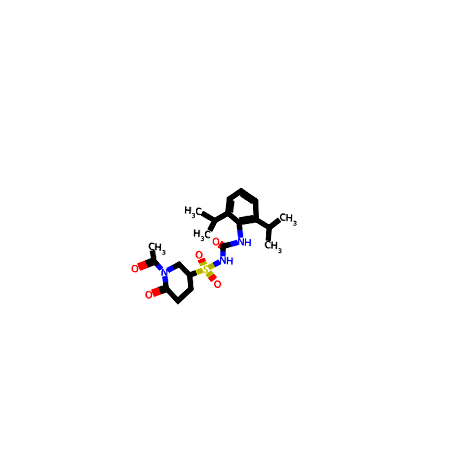 CC(=O)N1CC(S(=O)(=O)NC(=O)Nc2c(C(C)C)cccc2C(C)C)CCC1=O